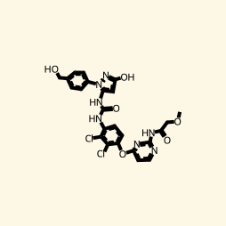 COCC(=O)Nc1nccc(Oc2ccc(NC(=O)Nc3cc(O)nn3-c3ccc(CO)cc3)c(Cl)c2Cl)n1